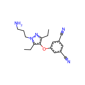 CCc1nn(CCCN)c(CC)c1Oc1cc(C#N)cc(C#N)c1